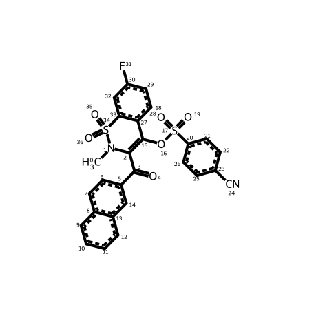 CN1C(C(=O)c2ccc3ccccc3c2)=C(OS(=O)(=O)c2ccc(C#N)cc2)c2ccc(F)cc2S1(=O)=O